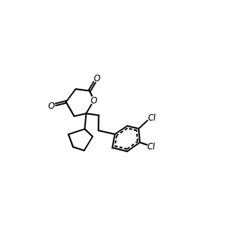 O=C1CC(=O)OC(CCc2ccc(Cl)c(Cl)c2)(C2CCCC2)C1